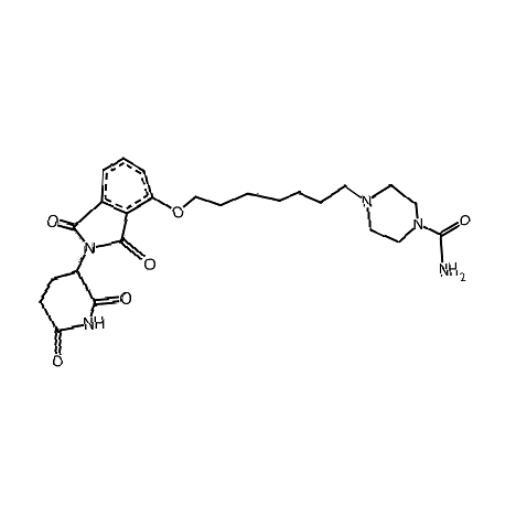 NC(=O)N1CCN(CCCCCCCOc2cccc3c2C(=O)N(C2CCC(=O)NC2=O)C3=O)CC1